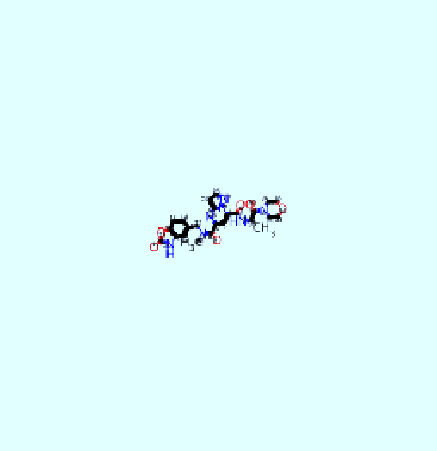 C[C@H](NC(=O)c1cc(C(=O)N(C)Cc2ccc3oc(=O)[nH]c3c2)nc2ccnn12)C(=O)N1CCOCC1